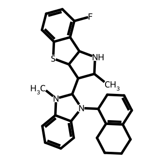 CC1NC2c3c(F)cccc3SC2C1C1N(C)c2ccccc2N1C1CC=CC2=C1CCCC2